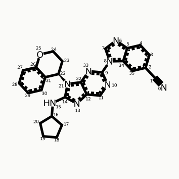 N#Cc1ccc2ncn(-c3ncc4nc(NC5CCCC5)n([C@@H]5CCOc6ccccc65)c4n3)c2c1